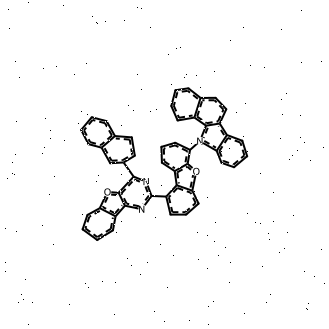 c1ccc2cc(-c3nc(-c4cccc5oc6c(-n7c8ccccc8c8ccc9ccccc9c87)cccc6c45)nc4c3oc3ccccc34)ccc2c1